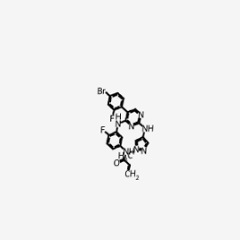 C=CC(=O)Nc1ccc(F)c(Nc2nc(Nc3cnn(C)c3)ncc2-c2ccc(Br)cc2F)c1